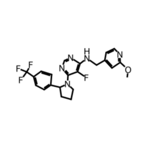 COc1cc(CNc2ncnc(N3CCCC3c3ccc(C(F)(F)F)cc3)c2F)ccn1